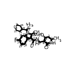 COc1cc(C)[nH]c(=O)c1CNC(=O)c1c(C)n(C(C)C2CCOCC2)c2cc(F)ccc12